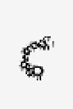 N=C(SC(=N)C(F)(F)F)N1CCN(Cc2ccc(COc3cccc4c3CN(C3CCCCCC(=O)NC3=O)C4=O)cc2)CC1